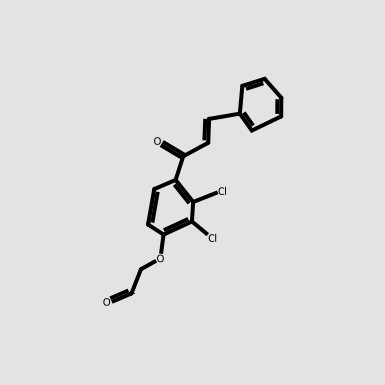 O=[C]COc1ccc(C(=O)/C=C/c2ccccc2)c(Cl)c1Cl